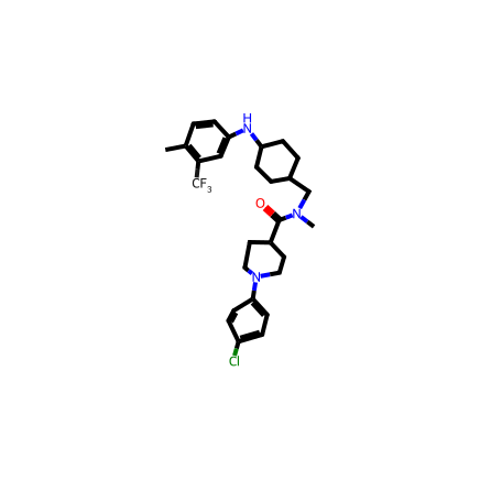 Cc1ccc(NC2CCC(CN(C)C(=O)C3CCN(c4ccc(Cl)cc4)CC3)CC2)cc1C(F)(F)F